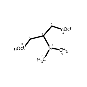 CCCCCCCCCC(CCCCCCCCC)N(C)C